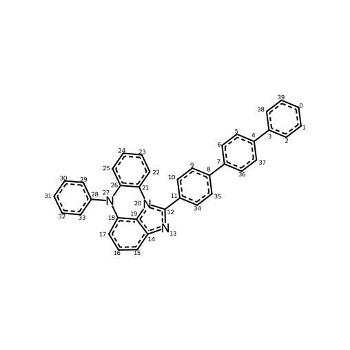 c1ccc(-c2ccc(-c3ccc(-c4nc5cccc6c5n4-c4ccccc4N6c4ccccc4)cc3)cc2)cc1